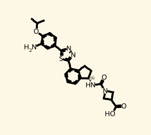 CC(C)Oc1ccc(-c2nnc(-c3cccc4c3CC[C@@H]4NC(=O)N3CC(C(=O)O)C3)s2)cc1N